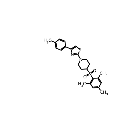 Cc1ccc(-c2csc(N3CCC(S(=O)(=O)c4c(C)cc(C)cc4C)CC3)n2)cc1